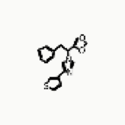 C1=C(C(Cc2ccccc2)n2cnc(-c3ccsc3)c2)OCO1